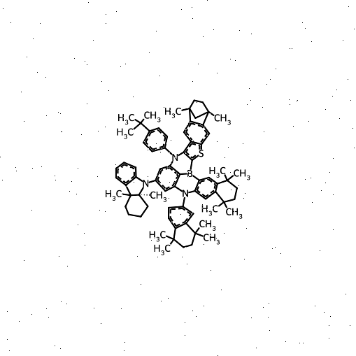 CC(C)(C)c1ccc(N2c3cc(N4c5ccccc5C5(C)CCCC[C@]45C)cc4c3B(c3cc5c(cc3N4c3ccc4c(c3)C(C)(C)CCC4(C)C)C(C)(C)CCC5(C)C)c3sc4cc5c(cc4c32)C2(C)CCC5(C)C2)cc1